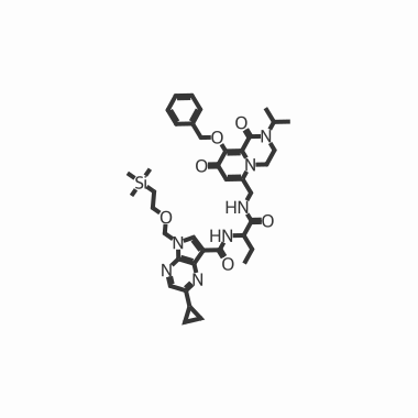 CCC(NC(=O)c1cn(COCC[Si](C)(C)C)c2ncc(C3CC3)nc12)C(=O)NCc1cc(=O)c(OCc2ccccc2)c2n1CCN(C(C)C)C2=O